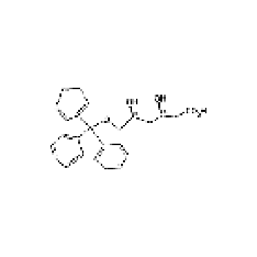 O=C(O)C[C@H](O)C[C@H](O)COC(c1ccccc1)(c1ccccc1)c1ccccc1